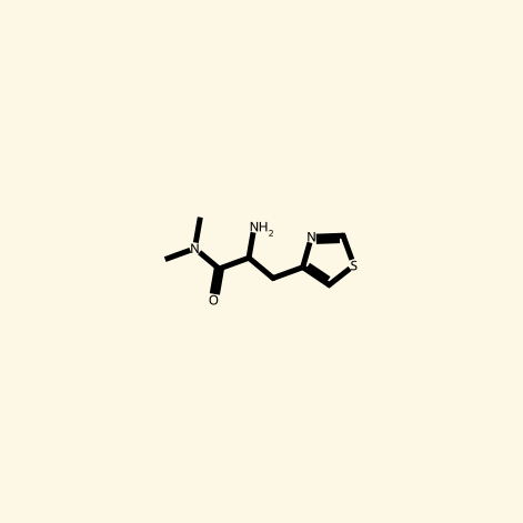 CN(C)C(=O)C(N)Cc1cscn1